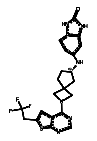 O=c1[nH]c2ccc(N[C@H]3CCC4(C3)CN(c3ncnc5sc(CC(F)(F)F)cc35)C4)cc2[nH]1